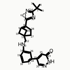 CC(C)(C)c1noc(C2=C3CC(CNc4cccc(-c5cn[nH]c(=O)c5)c4)(CC2)C3)n1